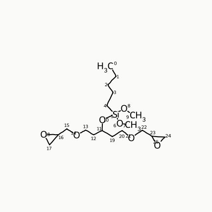 CCCCC[Si](OC)(OC)OC(CCOCC1CO1)CCOCC1CO1